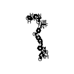 Cn1c(=O)n(C2CCC(=O)NC2=O)c2cccc(CN3CCC4(CC3)CCN(C(=O)c3ccc([C@H]5N=C(NC(=O)c6cnn7ccc(N8C[C@H]9C[C@@H]8CO9)nc67)C(C(F)F)=N5)cc3)CC4)c21